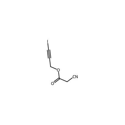 N#CCC(=O)OCC#CI